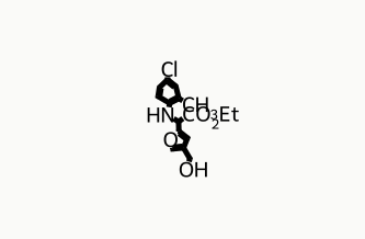 CCOC(=O)C(Nc1ccc(Cl)cc1C)c1cc(CO)co1